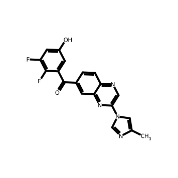 Cc1cn(-c2cnc3ccc(C(=O)c4cc(O)cc(F)c4F)cc3n2)cn1